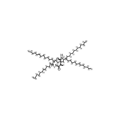 C=C(C(N)=O)C(CCN(CCCCCCCCCCCC)CCCCCCCCCCCC)(CCN(CCCCCCCCCCCC)CCCCCCCCCCCC)C(N)=O